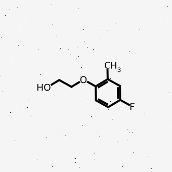 Cc1cc(F)[c]cc1OCCO